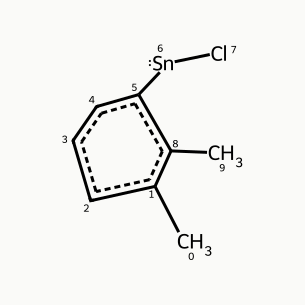 Cc1ccc[c]([Sn][Cl])c1C